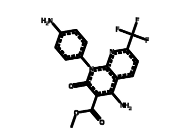 COC(=O)c1c(N)c2ccc(C(F)(F)F)nc2n(-c2ccc(N)cc2)c1=O